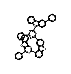 c1ccc(-c2ccc3c(c2)c2ccccc2n3-c2nc(-c3ccccc3)nc(-c3ccc4oc5cccc(-c6nc(-c7ccccc7)c7oc8ccccc8c7n6)c5c4c3)n2)cc1